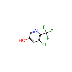 Oc1cnc(C(F)(F)F)c(Cl)c1